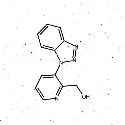 OCc1ncccc1-n1nnc2ccccc21